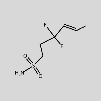 C/C=C/C(F)(F)CCS(N)(=O)=O